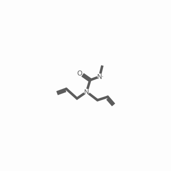 C=CCN(CC=C)C(=O)[N]C